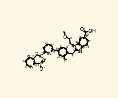 COCCn1c(Cc2ccc(-c3cccc(OCc4cccnc4[N+](=O)[O-])n3)cc2F)nc2ccc(C(=O)O)cc21